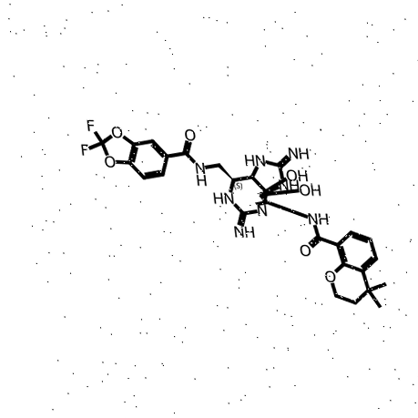 CC1(C)CCOc2c(C(=O)NC3CN4C(=N)N[C@@H](CNC(=O)c5ccc6c(c5)OC(F)(F)O6)C5NC(=N)NC54C3(O)O)cccc21